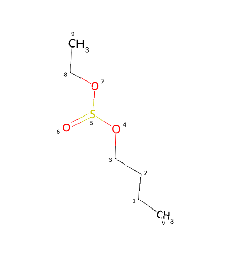 CCCCOS(=O)OCC